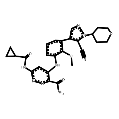 COc1c(Nc2cc(NC(=O)C3CC3)nnc2C(N)=O)cccc1-c1cnn(C2CCOCC2)c1C#N